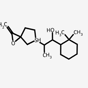 C=C1OC12CC[SH](C(C)C(O)C1CCCCC1(C)C)C2